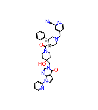 N#Cc1cc(CN2CC[C@@H](C(=O)N3CCC(O)(Cn4cnc5c(ccn5-c5ccccn5)c4=O)CC3)[C@H](c3ccccc3)C2)ccn1